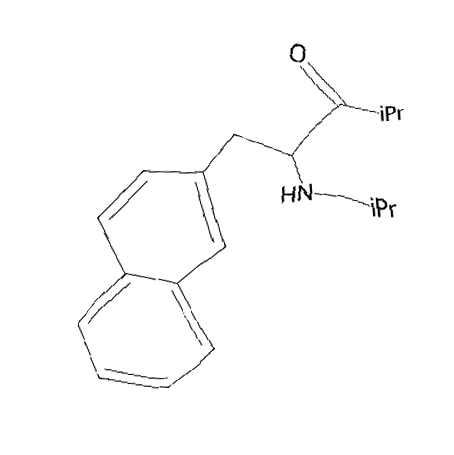 CC(C)NC(Cc1ccc2ccccc2c1)C(=O)C(C)C